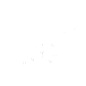 CC(=O)OCC1=C(C(=O)[O-])N2C(=O)[C@@H](NC(=O)C(=NO)c3ccc(O)c(Cl)c3)[C@H]2SC1.[Na+]